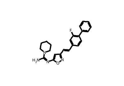 NC(=Nc1cc(C=Cc2ccc(-c3ccccc3)c(F)c2)no1)N1CCCCC1